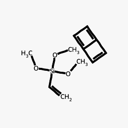 C=C[Si](OC)(OC)OC.c1cc2ccc1-2